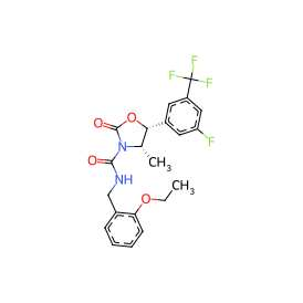 CCOc1ccccc1CNC(=O)N1C(=O)O[C@H](c2cc(F)cc(C(F)(F)F)c2)[C@@H]1C